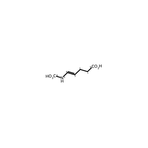 O=C(O)CCC=CNC(=O)O